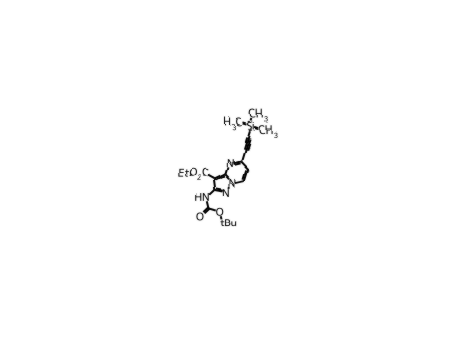 CCOC(=O)c1c(NC(=O)OC(C)(C)C)nn2ccc(C#C[Si](C)(C)C)nc12